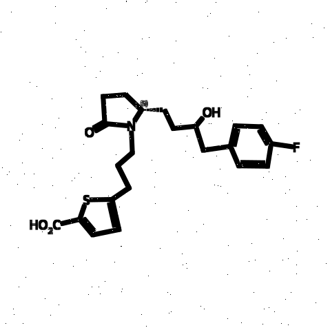 O=C(O)c1ccc(CCCN2C(=O)CC[C@@H]2CCC(O)Cc2ccc(F)cc2)s1